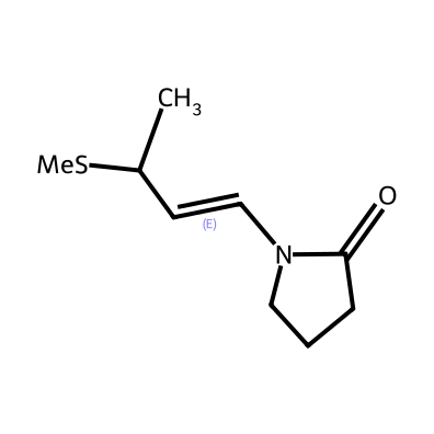 CSC(C)/C=C/N1CCCC1=O